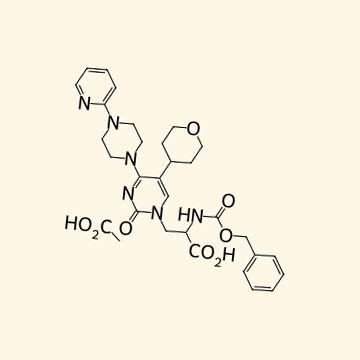 CC(=O)O.O=C(NC(Cn1cc(C2CCOCC2)c(N2CCN(c3ccccn3)CC2)nc1=O)C(=O)O)OCc1ccccc1